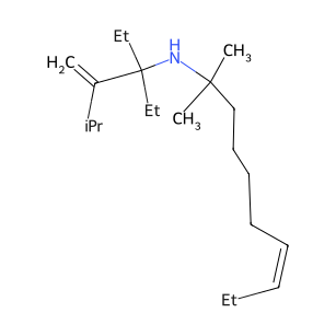 C=C(C(C)C)C(CC)(CC)NC(C)(C)CCCC/C=C\CC